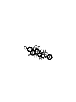 C[C@]12C=CC(=O)C=C1[C@@H](F)C[C@H]1[C@@H]3C[C@H]4CN(C5CCCCC5)O[C@@]4(C(=O)O)[C@@]3(C)C[C@H](O)[C@@]12F